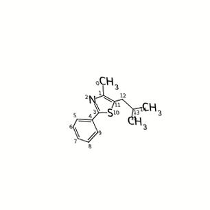 Cc1nc(-c2ccccc2)sc1CC(C)C